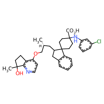 C[C@@H](COc1ccnc2c1CCC2(C)O)CC1Cc2ccccc2C12CCC(Nc1cccc(Cl)c1)(C(=O)O)CC2